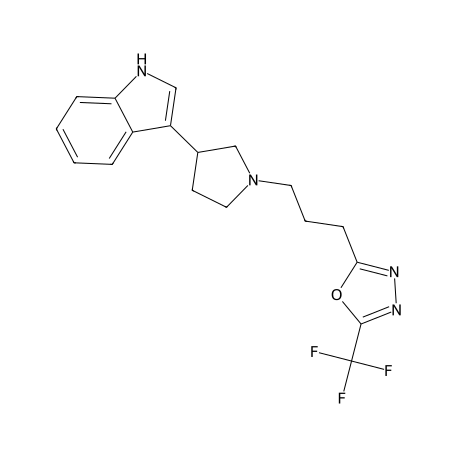 FC(F)(F)c1nnc(CCCN2CCC(c3c[nH]c4ccccc34)C2)o1